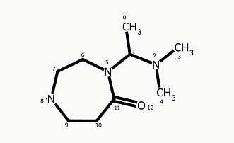 CC(N(C)C)N1CC[N]CCC1=O